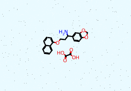 NC(CCOc1cccc2ccccc12)c1ccc2c(c1)OCO2.O=C(O)C(=O)O